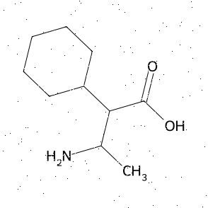 CC(N)C(C(=O)O)C1CCCCC1